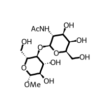 CO[C@@H]1O[C@H](CO)[C@@H](O[C@@H]2O[C@H](CO)[C@H](O)[C@H](O)[C@H]2NC(C)=O)[C@H](O)[C@H]1O